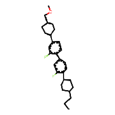 CCCC1CCC(c2ccc(-c3ccc(C4CCC(COC)CC4)cc3F)cc2F)CC1